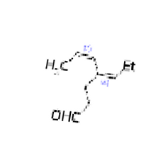 C/C=C\C(=C/CC)CCC=O